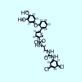 O=C(NCCNS(=O)(=O)c1ccc(-c2ccccc2Oc2ccc(O)c(O)c2)s1)Nc1cc(Cl)cc(Cl)c1